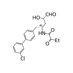 CCC(=O)C(=O)N[C@H](Cc1ccc(-c2cccc(Cl)c2)cc1)CC(O)C=O